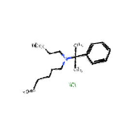 CCCCCCCCCCCCCCN(CCCCCCCCCCCC)C(C)(C)c1ccccc1.Cl